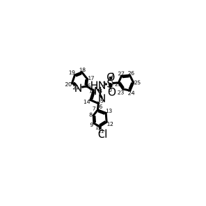 O=S(=O)(Nn1nc(-c2ccc(Cl)cc2)cc1-c1ccccn1)c1ccccc1